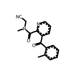 Cc1ccccc1C(=O)c1cccnc1C(=O)N(C)CC#N